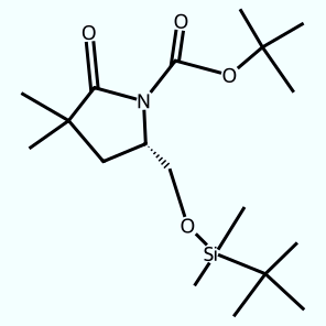 CC(C)(C)OC(=O)N1C(=O)C(C)(C)C[C@H]1CO[Si](C)(C)C(C)(C)C